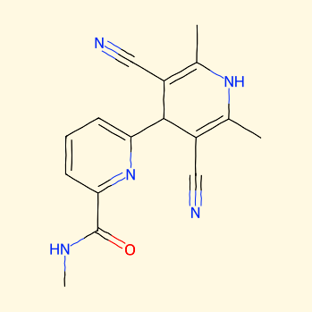 CNC(=O)c1cccc(C2C(C#N)=C(C)NC(C)=C2C#N)n1